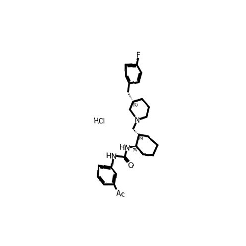 CC(=O)c1cccc(NC(=O)N[C@@H]2CCCC[C@H]2CN2CCC[C@@H](Cc3ccc(F)cc3)C2)c1.Cl